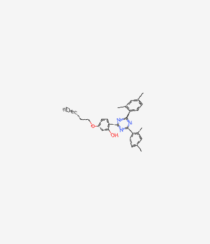 CCCCCCCCCCCCOc1ccc(-c2nc(-c3ccc(C)cc3C)nc(-c3ccc(C)cc3C)n2)c(O)c1